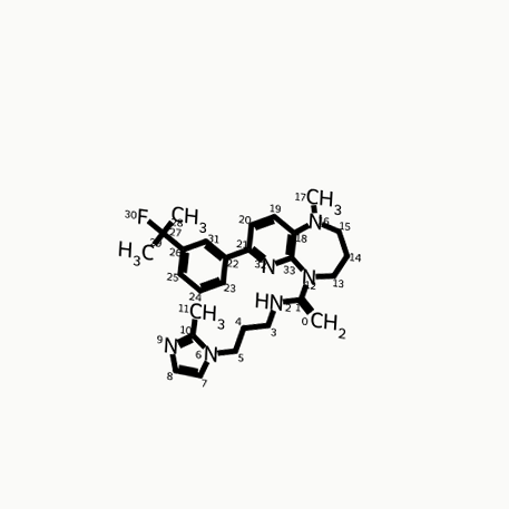 C=C(NCCCn1ccnc1C)N1CCCN(C)c2ccc(-c3cccc(C(C)(C)F)c3)nc21